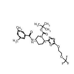 Cc1cc(C)cc(C(=O)N[C@H]2CC[C@H](c3nnc(OCCOC(F)(F)F)o3)N(C(=O)OC(C)(C)C)C2)c1